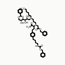 CCCCCCN(CCCN(CC(=O)OCc1ccccc1)C(CCc1ccc(CCCCNC(=O)OCc2ccccc2)cc1)C(N)=O)C[C@H](O)[C@@H](O)[C@@H]1OC(c2ccccc2)OC[C@H]1O